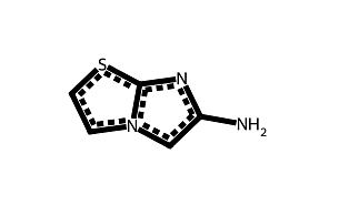 Nc1cn2ccsc2n1